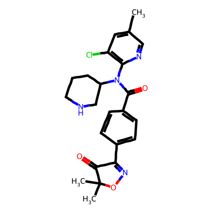 Cc1cnc(N(C(=O)c2ccc(C3=NOC(C)(C)C3=O)cc2)C2CCCNC2)c(Cl)c1